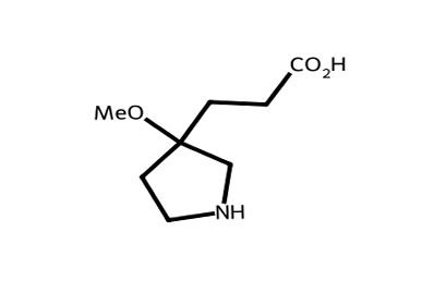 COC1(CCC(=O)O)CCNC1